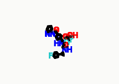 Nc1ccccc1NC(=O)c1ccc(CNC(=O)CNC2CC2c2ccc(F)cc2)cc1.O=C(O)C(F)(F)F